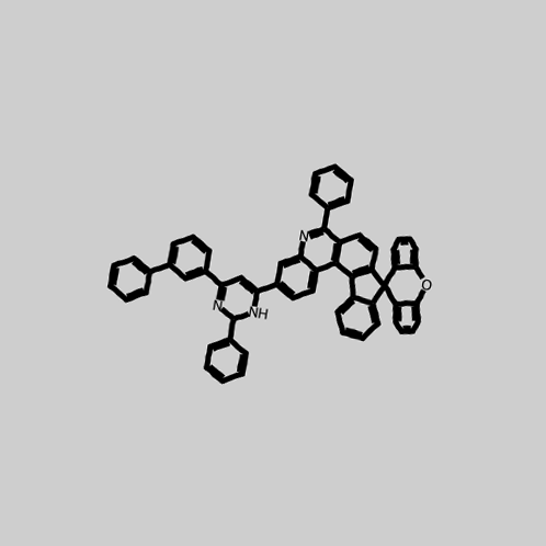 C1=C(c2ccc3c(c2)nc(-c2ccccc2)c2ccc4c(c23)-c2ccccc2C42c3ccccc3Oc3ccccc32)NC(c2ccccc2)N=C1c1cccc(-c2ccccc2)c1